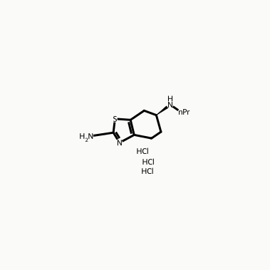 CCCN[C@H]1CCc2nc(N)sc2C1.Cl.Cl.Cl